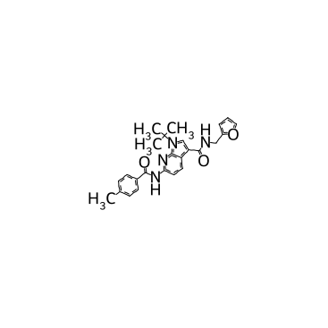 Cc1ccc(C(=O)Nc2ccc3c(C(=O)NCc4ccco4)cn(C(C)(C)C)c3n2)cc1